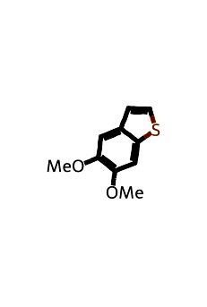 COc1cc2ccsc2cc1OC